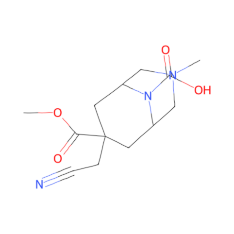 COC(=O)C1(CC#N)CC2CN(C)CC(C1)N2C(=O)O